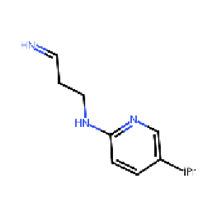 CC(C)c1ccc(NCCC=N)nc1